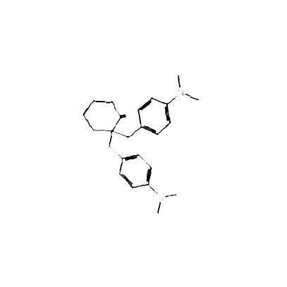 CN(C)c1ccc(CC2(Cc3ccc(N(C)C)cc3)CCCCC2=O)cc1